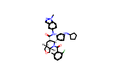 Cc1cccc(F)c1C(=O)N1[C@@H]2COC[C@@H]2C[C@H](C(=O)Nc2ccc3c(cnn3C)c2)[C@@H]1c1ccc(NC2CCCC2)cc1